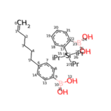 C=CCCCCc1ccc(B(O)O)cc1.CC(C)[Si](c1ccccc1B(O)O)(C(C)C)C(C)C